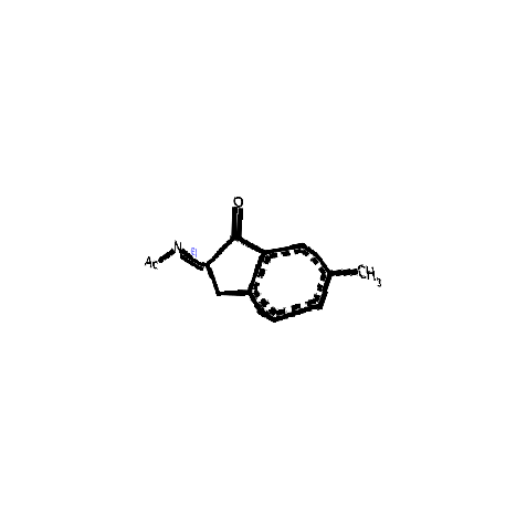 CC(=O)/N=C1\Cc2ccc(C)cc2C1=O